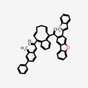 C=C(/C=c1/ccc(-c2ccccc2)cc1=C)C1=c2\cccc\c2=C(C(=C)c2cc3c(cc2-c2cc4ccccc4s2)oc2ccccc23)\C=C\CC\C=C\1